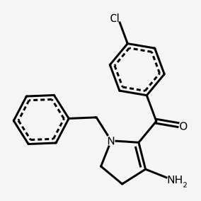 NC1=C(C(=O)c2ccc(Cl)cc2)N(Cc2ccccc2)CC1